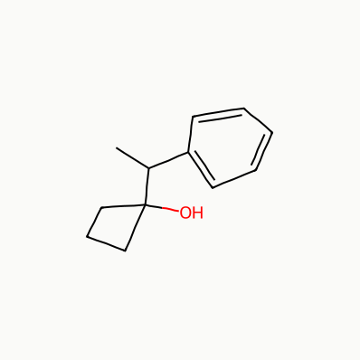 CC(c1ccccc1)C1(O)CCC1